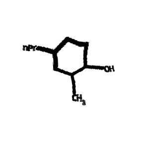 CCCC1CCC(O)C(C)C1